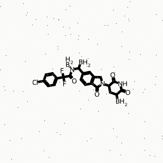 BC1CC(N2Cc3cc(C(B)N(B)C(=O)C(F)(F)c4ccc(Cl)cc4)ccc3C2=O)C(=O)NC1=O